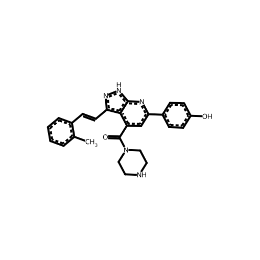 Cc1ccccc1C=Cc1n[nH]c2nc(-c3ccc(O)cc3)cc(C(=O)N3CCNCC3)c12